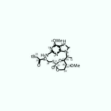 COc1nc(N)nc2c1PCN2[C@@H](C)C1OP(=O)(SCOC(=O)C(C)(C)C)OC[C@H]1OC